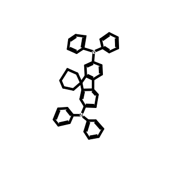 c1ccc(N(c2ccccc2)c2ccc3c(c2)C2(CCCCC2)c2cc(N(c4ccccc4)c4ccccc4)ccc2-3)cc1